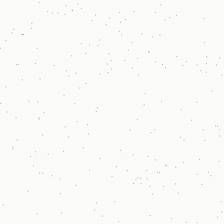 C=CC(Br)CCCCCCCCCBr